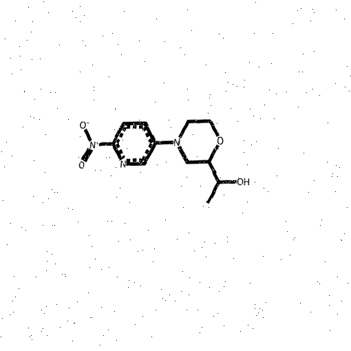 CC(O)C1CN(c2ccc([N+](=O)[O-])nc2)CCO1